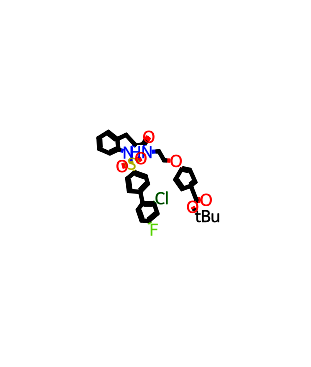 CC(C)(C)OC(=O)c1ccc(OCCNC(=O)[C@@H]2Cc3ccccc3N2S(=O)(=O)c2ccc(-c3ccc(F)cc3Cl)cc2)cc1